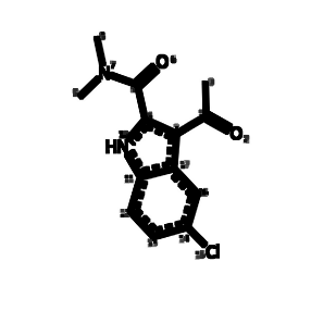 CC(=O)c1c(C(=O)N(C)C)[nH]c2ccc(Cl)cc12